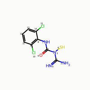 N=C(N)N(S)C(=O)Nc1c(Cl)cccc1Cl